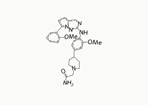 COc1cc(C2CCN(CC(N)=O)CC2)ccc1Nc1ncc2ccc(-c3ccccc3OC)n2n1